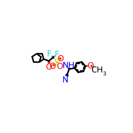 COc1ccc(C(C#N)NOS(=O)(=O)C(F)(F)C(=O)C2CC3CCC2C3)cc1